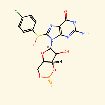 Nc1nc2c(nc([S+]([O-])c3ccc(Cl)cc3)n2[C@@H]2OC3CO[PH](=S)O[C@H]3C2O)c(=O)[nH]1